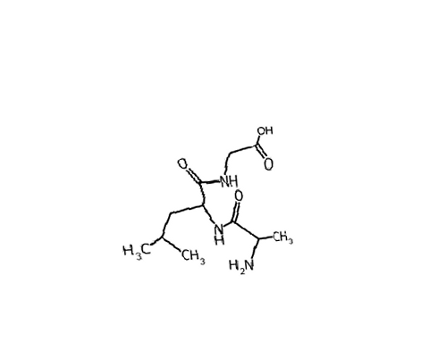 CC(C)CC(NC(=O)C(C)N)C(=O)NCC(=O)O